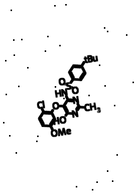 COc1ccc(Cl)c(Oc2c(O)nc(C)nc2NS(=O)(=O)c2ccc(C(C)(C)C)cc2)c1